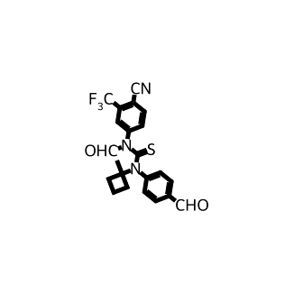 CC1(N(C(=S)N(C=O)c2ccc(C#N)c(C(F)(F)F)c2)c2ccc(C=O)cc2)CCC1